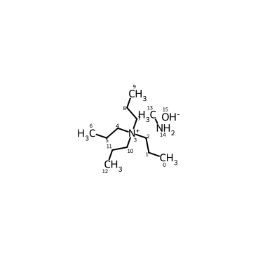 CCC[N+](CCC)(CCC)CCC.CN.[OH-]